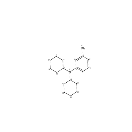 Oc1cccc(N(C2CCCCC2)C2CCCCC2)c1